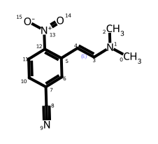 CN(C)/C=C/c1cc(C#N)ccc1[N+](=O)[O-]